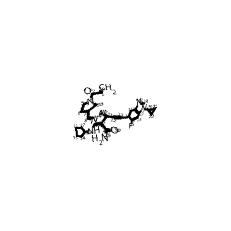 C=CC(=O)N1CCC(/C=[N+]2\N=C(C#Cc3cc4ncn(C5CC5)c4cc3F)C(C(N)=O)=C2NC2CCCC2)C1